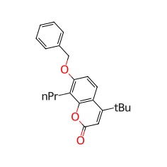 CCCc1c(OCc2ccccc2)ccc2c(C(C)(C)C)cc(=O)oc12